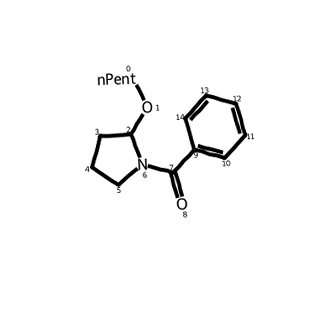 CCCCCOC1CCCN1C(=O)c1ccccc1